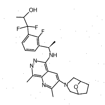 Cc1nc2c(C)nnc(N[C@H](C)c3cccc(C(F)(F)C(C)O)c3F)c2cc1N1CC2CCC(C1)O2